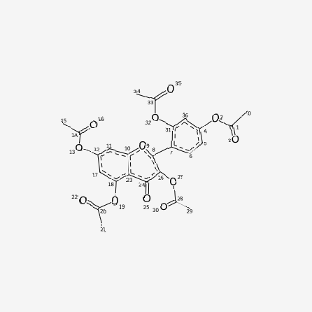 CC(=O)Oc1ccc(-c2oc3cc(OC(C)=O)cc(OC(C)=O)c3c(=O)c2OC(C)=O)c(OC(C)=O)c1